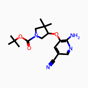 CC(C)(C)OC(=O)N1CC(Oc2cc(C#N)cnc2N)C(C)(C)C1